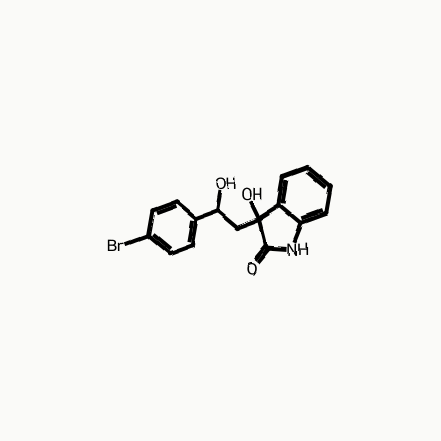 O=C1Nc2ccccc2C1(O)CC(O)c1ccc(Br)cc1